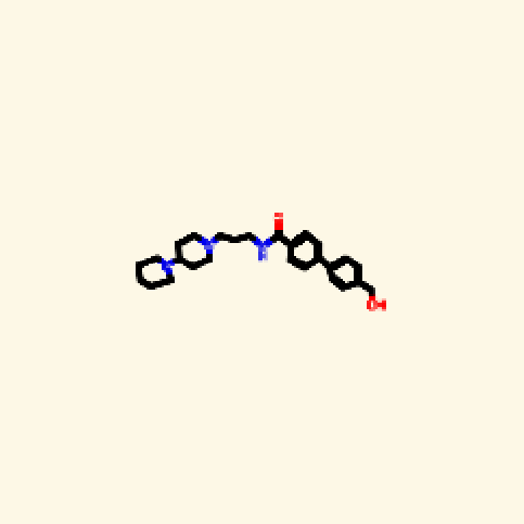 O=C(NCCCN1CCC(N2CCCCC2)CC1)c1ccc(-c2ccc(CO)cc2)cc1